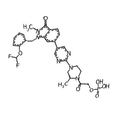 CC1CN(c2ncc(-c3ccc4c(=O)n(C)n(Cc5ccccc5OC(F)F)c4c3)cn2)CCN1C(=O)COP(=O)(O)O